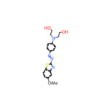 COc1ccc2sc(/N=N/c3ccc(N(CCO)CCO)cc3)nc2c1